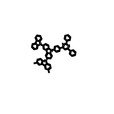 Cc1ccc2c(c1)c1cc(C)ccc1n2-c1ccc2c(c1)c1cc(-n3c4ccccc4c4ccccc43)ccc1n2-c1ccc(-c2cc(-c3ccccc3)nc(-c3ccccc3)n2)cc1